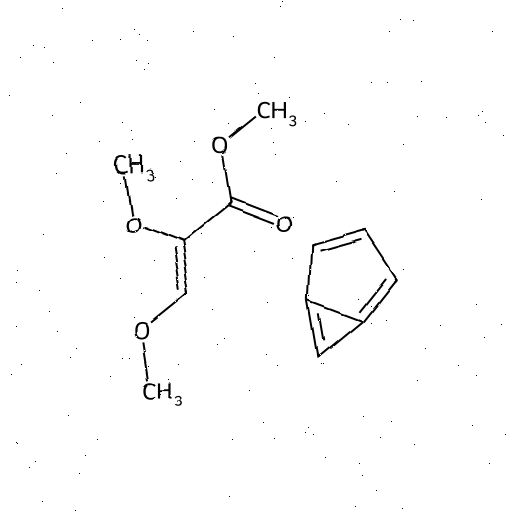 COC=C(OC)C(=O)OC.c1cc2cc-2c1